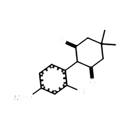 COc1ccc(C2C(=O)CC(C)(C)CC2=O)c(Cl)c1